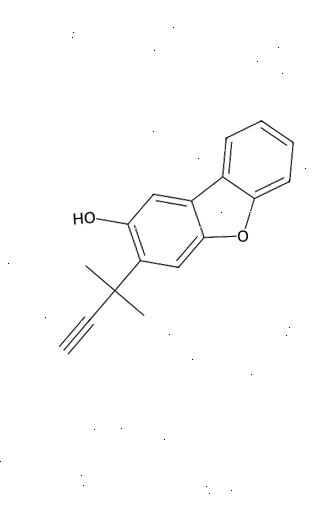 C#CC(C)(C)c1cc2oc3ccccc3c2cc1O